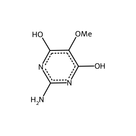 COc1c(O)nc(N)nc1O